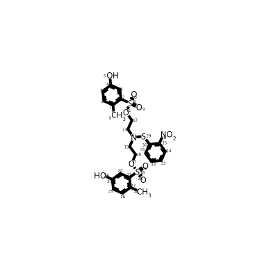 Cc1ccc(O)cc1S(=O)(=O)OCCN(CCOS(=O)(=O)c1cc(O)ccc1C)Sc1ccccc1[N+](=O)[O-]